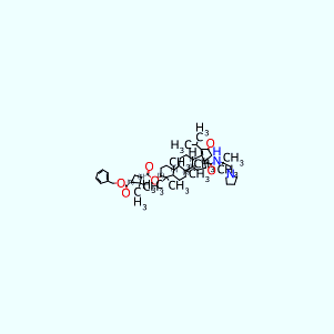 CC(C)C1=C2[C@H]3CCC4[C@@]5(C)CC[C@H](OC(=O)[C@H]6C[C@@H](C(=O)OCc7ccccc7)C6(C)C)C(C)(C)C5CC[C@@]4(C)[C@]3(C)CC[C@@]2(C(=O)NC(C)(C)CN2CCCC2)CC1=O